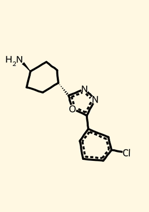 N[C@H]1CC[C@H](c2nnc(-c3cccc(Cl)c3)o2)CC1